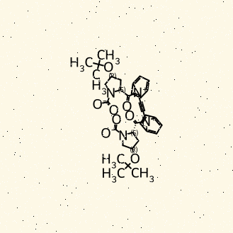 CC(C)(C)O[C@@H]1C[C@@H](C(=O)[N+]2(C#C[N+]3(C(=O)[C@@H]4C[C@@H](OC(C)(C)C)CN4C(=O)[O-])C4=CC=C3C=C4)C3=CC=C2C=C3)N(C(=O)[O-])C1